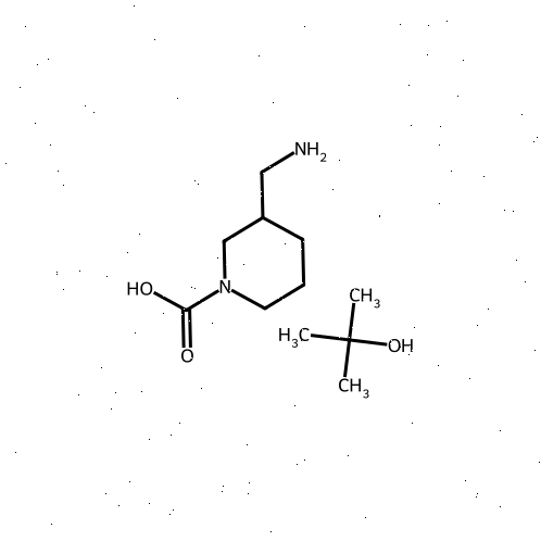 CC(C)(C)O.NCC1CCCN(C(=O)O)C1